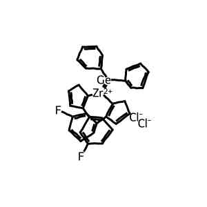 Fc1cccc(C2=[C]([Zr+2]([C]3=C(c4cccc(F)c4)C=CC3)=[Ge]([c]3ccccc3)[c]3ccccc3)CC=C2)c1.[Cl-].[Cl-]